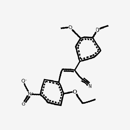 CCOc1ccc([N+](=O)[O-])cc1C=C(C#N)c1ccc(OC)c(OC)c1